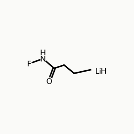 CCCC(=O)NF.[LiH]